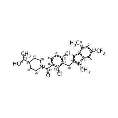 Cc1cc(C(F)(F)F)cc2c1cc(Cc1c(Cl)ccc(C(=O)N3CCC(C(C)O)CC3)c1Cl)n2C